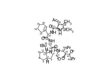 CCC[C@H](NC(=O)[C@@H]1C[C@@H]2CCCC[C@@H]2N1C(=O)[C@@H](NC(=O)C(NC(=O)c1[nH]c(C)c(C)c1C(C)=O)C1CCCCC1)C(C)(C)C)C(=O)C(=O)C(C)C